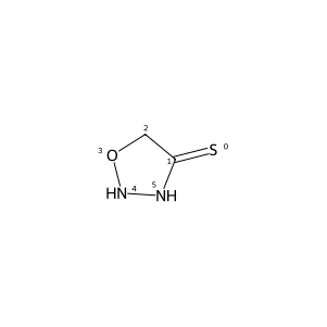 S=C1CONN1